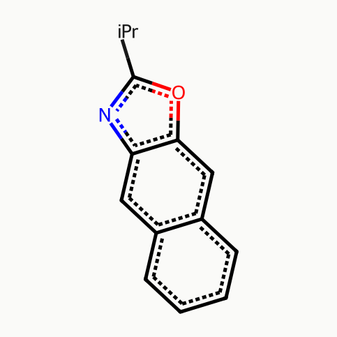 CC(C)c1nc2cc3ccccc3cc2o1